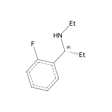 CCN[C@H](CC)c1ccccc1F